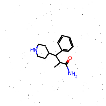 CC(C(N)=O)C(c1ccccc1)C1CCNCC1